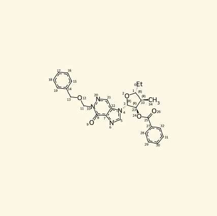 CC[C@H]1O[C@@H](n2cnc3c(=O)n(COCc4ccccc4)ncc32)[C@H](OC(=O)c2ccccc2)[C@@H]1C